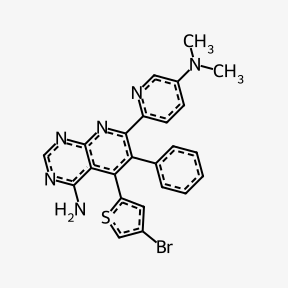 CN(C)c1ccc(-c2nc3ncnc(N)c3c(-c3cc(Br)cs3)c2-c2ccccc2)nc1